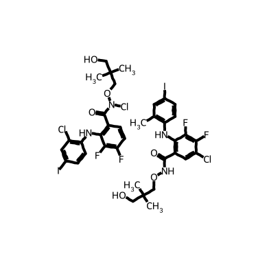 CC(C)(CO)CON(Cl)C(=O)c1ccc(F)c(F)c1Nc1ccc(I)cc1Cl.Cc1cc(I)ccc1Nc1c(C(=O)NOCC(C)(C)CO)cc(Cl)c(F)c1F